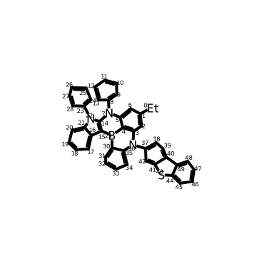 CCc1cc2c3c(c1)N(c1ccccc1)c1c(c4ccccc4n1-c1ccccc1)B3c1ccccc1N2c1ccc2c(c1)sc1ccccc12